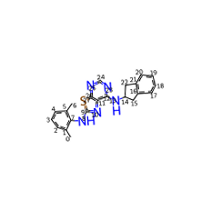 Cc1cccc(C)c1Nc1nc2c(NC3Cc4ccccc4C3)ncnc2s1